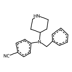 N#Cc1ccc(N(Cc2ccccc2)C2CCNCC2)cc1